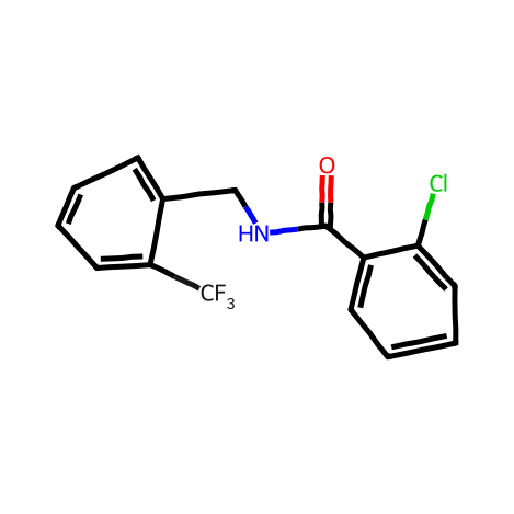 O=C(NCc1ccccc1C(F)(F)F)c1ccccc1Cl